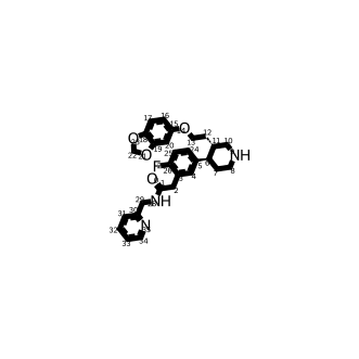 O=C(Cc1cc([C@@H]2CCNC[C@H]2CCOc2ccc3c(c2)OCO3)ccc1F)NCc1ccccn1